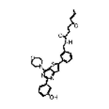 CC=CC(=O)CCC(=O)NCc1cccc(-c2cc3nc(-c4cccc(O)c4)nc(N4CCOCC4)c3s2)c1